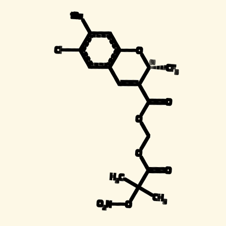 CC(C)(O[N+](=O)[O-])C(=O)OCOC(=O)C1=Cc2cc(Cl)c(C(C)(C)C)cc2O[C@@H]1C(F)(F)F